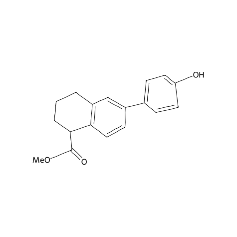 COC(=O)C1CCCc2cc(-c3ccc(O)cc3)ccc21